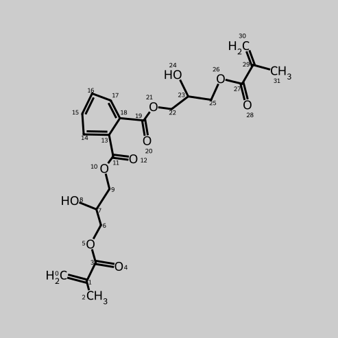 C=C(C)C(=O)OCC(O)COC(=O)c1ccccc1C(=O)OCC(O)COC(=O)C(=C)C